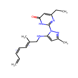 C=C/C=C\C=C(/C)CNc1cc(C)nn1-c1nc(CC)cc(=O)[nH]1